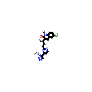 CC(C)n1cncc1-c1ccnc(CC[C@@H](C)c2cc3cc(Cl)ccc3n(C)c2=O)n1